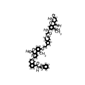 CNc1cc(NC(=O)CN2CCC3(CCC(CCOc4cccc(-c5ccc(N6CCc7cccc(C(=O)Nc8nc9ccccc9s8)c7C6)nc5C(=O)O)c4C)C3)CC2)ccc1C(=N)C1CCC(=O)NC1=O